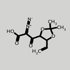 C=CC1OC(C)(C)OC1C(=O)C(=[N+]=[N-])C(=O)O